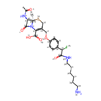 CC(=O)N[C@@H]1C(=O)N2C(C(=O)O)=C(COc3ccc(C(F)C(=O)NCCCCCCN)cc3)CS[C@H]12